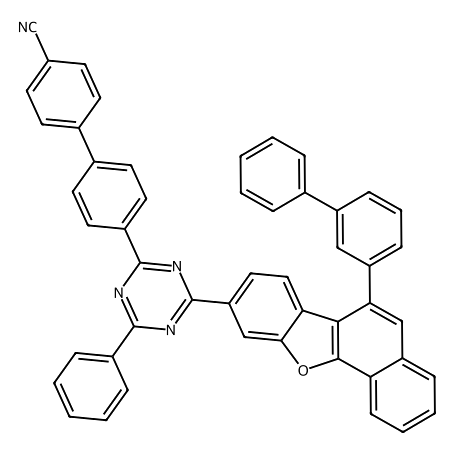 N#Cc1ccc(-c2ccc(-c3nc(-c4ccccc4)nc(-c4ccc5c(c4)oc4c6ccccc6cc(-c6cccc(-c7ccccc7)c6)c54)n3)cc2)cc1